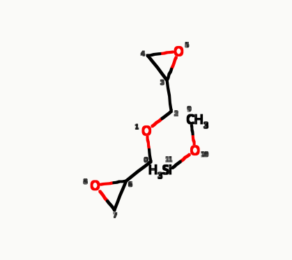 C(OCC1CO1)C1CO1.CO[SiH3]